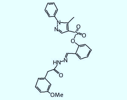 COc1cccc(CC(=O)NN=Cc2ccccc2OS(=O)(=O)c2cnn(-c3ccccc3)c2C)c1